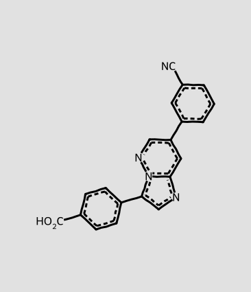 N#Cc1cccc(-c2cnn3c(-c4ccc(C(=O)O)cc4)cnc3c2)c1